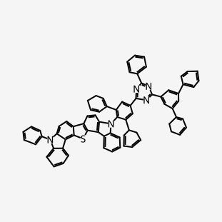 C1=CCCC(c2cc(-c3ccccc3)cc(-c3nc(-c4ccccc4)nc(-c4cc(C5=CCCC=C5)c(-n5c6ccccc6c6c7sc8c(ccc9c8c8ccccc8n9-c8ccccc8)c7ccc65)c(C5C=CC=CC5)c4)n3)c2)=C1